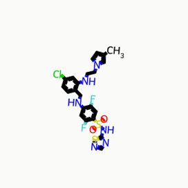 Cc1ccn(CCNc2cc(Cl)ccc2CNc2cc(F)c(S(=O)(=O)Nc3ncns3)cc2F)c1